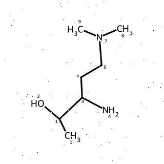 CC(O)C(N)CCN(C)C